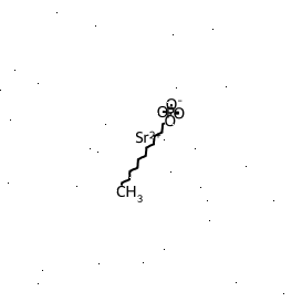 CCCCCCCCCCCCOP(=O)([O-])[O-].[Sr+2]